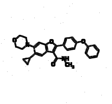 CNC(=O)c1c(-c2ccc(Oc3ccccc3)cc2)oc2cc(N3CCOCC3)c(C3CC3)cc12